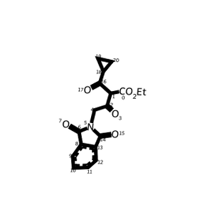 CCOC(=O)C(C(=O)CN1C(=O)c2ccccc2C1=O)C(=O)C1CC1